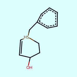 OC1C=C[SH](Cc2ccccc2)CC1